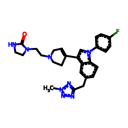 Cn1nnc(Cc2ccc3c(c2)c(C2=CCN(CCN4CCNC4=O)CC2)cn3-c2ccc(F)cc2)n1